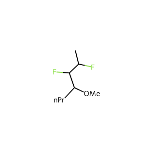 CCCC(OC)C(F)C(C)F